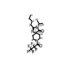 CCCCC1=NC2(CCN(C(=O)C(F)(F)C(F)(F)F)CC2)C(=O)N1C(C)C